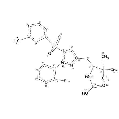 Cc1cccc(S(=O)(=O)c2cc(CC(NC(=O)O)C(C)(C)C)nn2-c2cccnc2F)c1